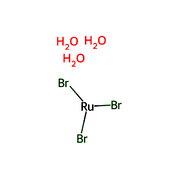 O.O.O.[Br][Ru]([Br])[Br]